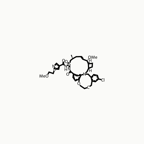 COCCn1cc(C(=O)NS2(=O)=NC(=O)c3ccc4c(c3)N(Cc3ccc(Cl)cc3CCCCO4)C[C@@H]3CC[C@H]3[C@@H](OC)/C=C/C[C@H](C)C2)cn1